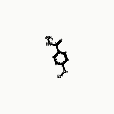 C=C(NN)c1ccc(OCC)cc1